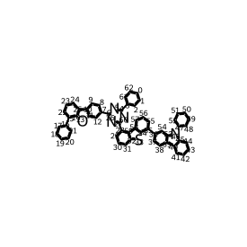 c1ccc(-c2nc(-c3ccc4c(c3)oc3c(-c5ccccc5)cccc34)nc(-c3cccc4sc5c(-c6ccc7c8ccccc8n(-c8ccccc8)c7c6)cccc5c34)n2)cc1